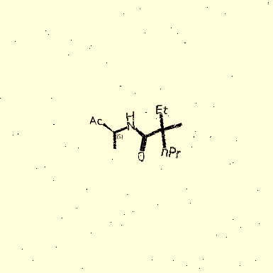 CCCC(C)(CC)C(=O)N[C@@H](C)C(C)=O